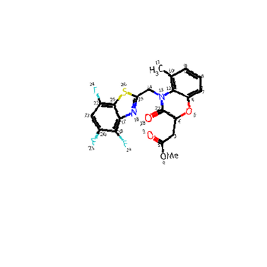 COC(=O)CC1Oc2cccc(C)c2N(Cc2nc3c(F)c(F)cc(F)c3s2)C1=O